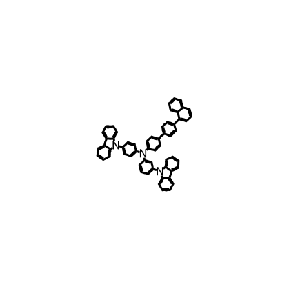 c1cc(N(c2ccc(-c3ccc(-c4cccc5ccccc45)cc3)cc2)c2ccc(-n3c4ccccc4c4ccccc43)cc2)cc(-n2c3ccccc3c3ccccc32)c1